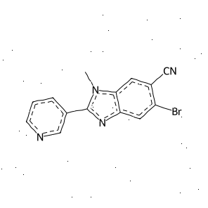 Cn1c(-c2cccnc2)nc2cc(Br)c(C#N)cc21